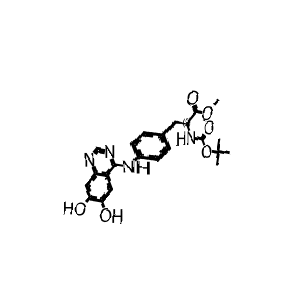 COC(=O)[C@H](Cc1ccc(Nc2ncnc3cc(O)c(O)cc23)cc1)NC(=O)OC(C)(C)C